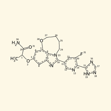 CC(Oc1cc2c3c(c1)nc(-c1cnc(-c4ncn[nH]4)c(F)c1)n3CCCCO2)C(N)=O